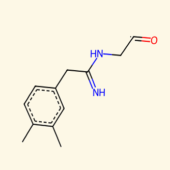 Cc1ccc(CC(=N)NC[C]=O)cc1C